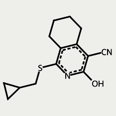 N#Cc1c(O)nc(SCC2CC2)c2c1CCCC2